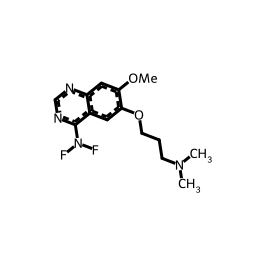 COc1cc2ncnc(N(F)F)c2cc1OCCCN(C)C